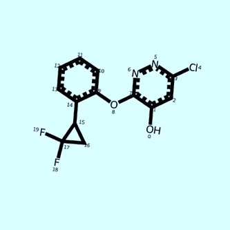 Oc1cc(Cl)nnc1Oc1ccccc1C1CC1(F)F